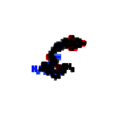 CN1CCN([C@@H]2CCCN(c3cnc(C(N)=O)c(Nc4cccc(NC(=O)CCCN5CCN(c6ccc7c(c6)C(=O)N(C6CCC(=O)CC6=O)C7=O)CC5)c4)n3)C2)C1=O